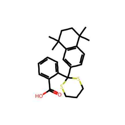 CC1(C)CCC(C)(C)c2cc(C3(c4ccccc4C(=O)O)SCCCS3)ccc21